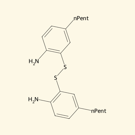 CCCCCc1ccc(N)c(SSc2cc(CCCCC)ccc2N)c1